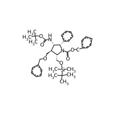 CC(C)(C)OC(=O)N[C@H]1[C@H](COCc2ccccc2)[C@@H](CO[Si](C)(C)C(C)(C)C)N(C(=O)OCc2ccccc2)[C@H]1c1ccccc1